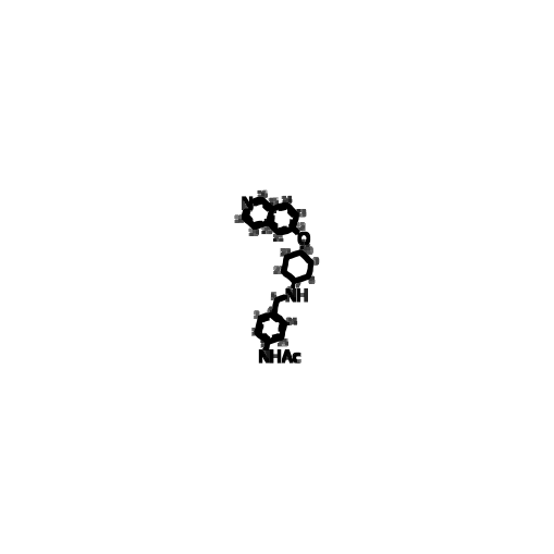 CC(=O)Nc1ccc(CN[C@H]2CC[C@@H](Oc3ccc4cnccc4c3)CC2)cc1